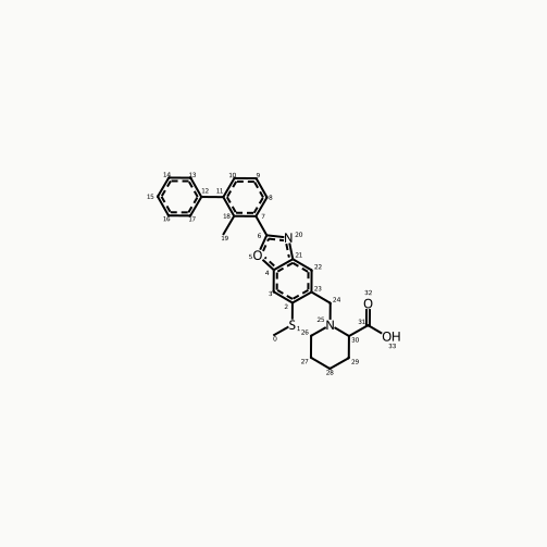 CSc1cc2oc(-c3cccc(-c4ccccc4)c3C)nc2cc1CN1CCCCC1C(=O)O